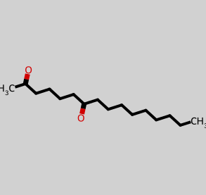 CCCCCCCCCC(=O)CCCCC(C)=O